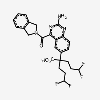 Nc1nc(C(=O)N2Cc3ccccc3C2)c2cc(C(CCC(F)F)(CCC(F)F)C(=O)O)ccc2n1